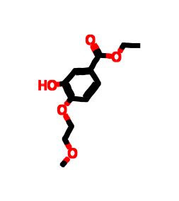 CCOC(=O)c1ccc(OCCOC)c(O)c1